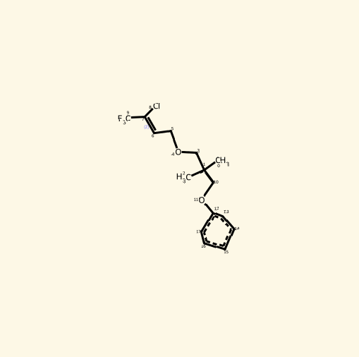 CC(C)(COC/C=C(\Cl)C(F)(F)F)COc1ccccc1